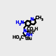 CCC1(C(=O)O)NC(C(=O)O)(C(C)(C)C)CN1Cc1cc2ccc(C)nc2cc1N